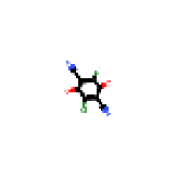 N#CC1=C(Cl)C(=O)C(C#N)=C(Cl)C1=O